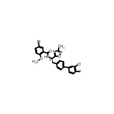 COc1ccc(Br)cc1C(=O)N[C@H](Cc1ccc(-c2ccc(F)c(Cl)c2)cc1)c1nc(C)no1